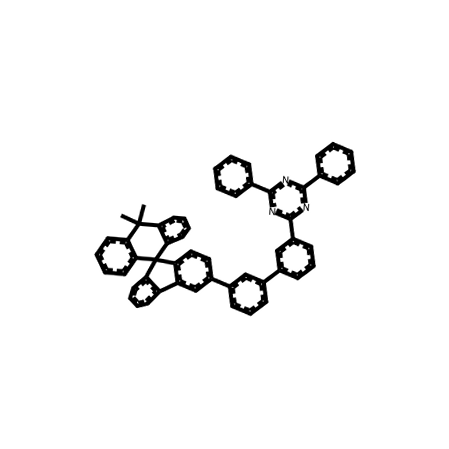 CC1(C)c2ccccc2C2(c3ccccc3-c3cc(-c4cccc(-c5cccc(-c6nc(-c7ccccc7)nc(-c7ccccc7)n6)c5)c4)ccc32)c2ccccc21